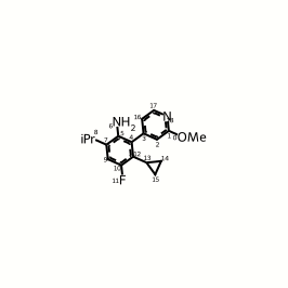 COc1cc(-c2c(N)c(C(C)C)cc(F)c2C2CC2)ccn1